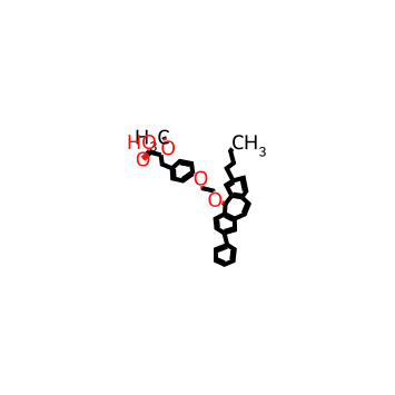 CCCCc1ccc2c(c1)C(OCCOc1ccc(CC(OC)C(=O)O)cc1)c1ccc(-c3ccccc3)cc1C=C2